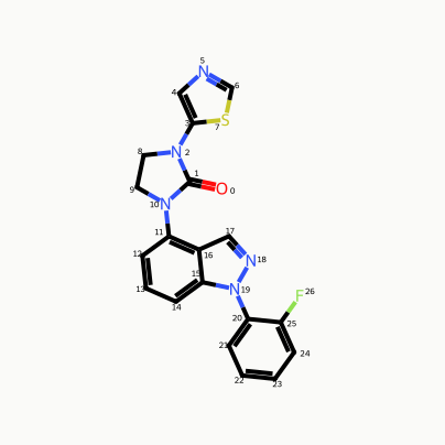 O=C1N(c2cncs2)CCN1c1cccc2c1cnn2-c1ccccc1F